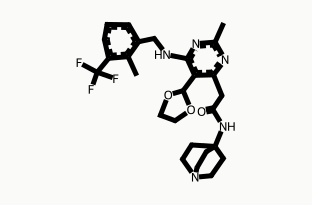 Cc1nc(CC(=O)NC23CCN(CC2)CC3)c(C2OCCO2)c(NCc2cccc(C(F)(F)F)c2C)n1